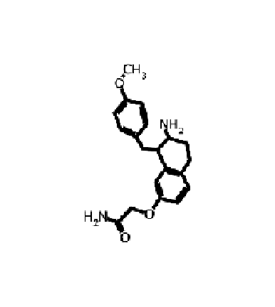 COc1ccc(CC2c3cc(OCC(N)=O)ccc3CCC2N)cc1